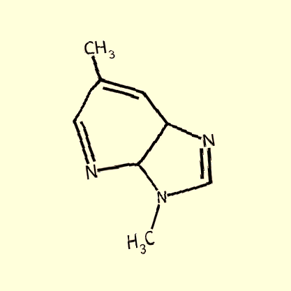 CC1=CC2N=CN(C)C2N=C1